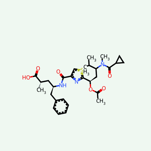 CC(=O)O[C@H](CC(C(C)C)N(C)C(=O)C1CC1)c1nc(C(=O)N[C@@H](Cc2ccccc2)C[C@H](C)C(=O)O)cs1